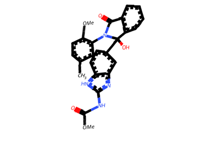 COC(=O)Nc1nc2cc(C3(O)c4ccccc4C(=O)N3c3cc(C)ccc3OC)ccc2[nH]1